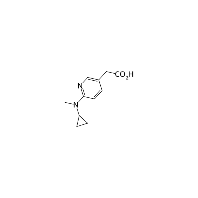 CN(c1ccc(CC(=O)O)cn1)C1CC1